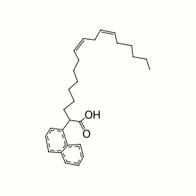 CCCCC/C=C\C/C=C\CCCCCCC(C(=O)O)c1cccc2ccccc12